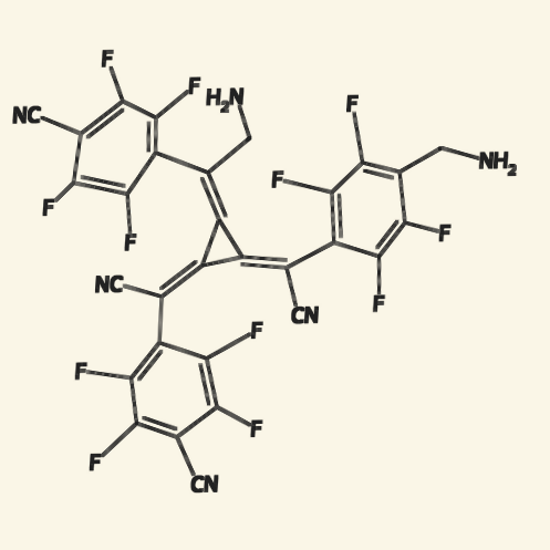 N#CC(=C1C(=C(\C#N)c2c(F)c(F)c(CN)c(F)c2F)/C1=C(\CN)c1c(F)c(F)c(C#N)c(F)c1F)c1c(F)c(F)c(C#N)c(F)c1F